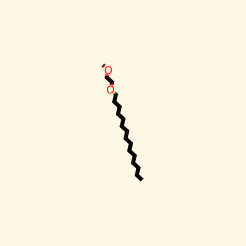 CCCCCCCCCCCCCCCOCCOC